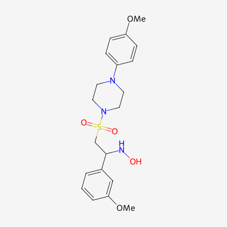 COc1ccc(N2CCN(S(=O)(=O)CC(NO)c3cccc(OC)c3)CC2)cc1